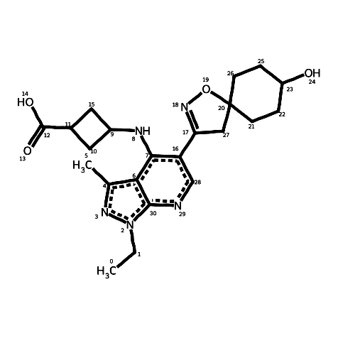 CCn1nc(C)c2c(NC3CC(C(=O)O)C3)c(C3=NOC4(CCC(O)CC4)C3)cnc21